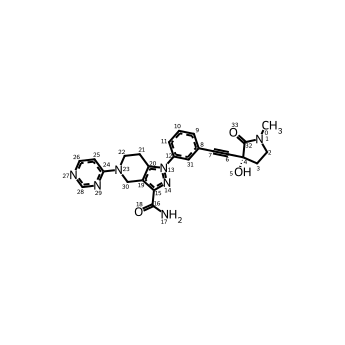 CN1CC[C@@](O)(C#Cc2cccc(-n3nc(C(N)=O)c4c3CCN(c3ccncn3)C4)c2)C1=O